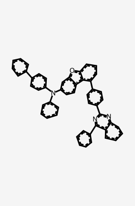 c1ccc(-c2ccc(N(c3ccccc3)c3ccc4c(c3)oc3cccc(-c5ccc(-c6nc(-c7ccccc7)c7ccccc7n6)cc5)c34)cc2)cc1